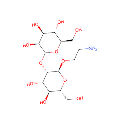 NCCO[C@H]1O[C@H](CO)[C@@H](O)[C@H](O)[C@@H]1OC1O[C@H](CO)[C@@H](O)[C@H](O)[C@@H]1O